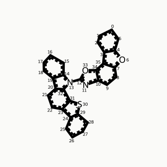 c1ccc2c(c1)oc1ccc3nc(-n4c5ccccc5c5ccc6c7ccccc7sc6c54)oc3c12